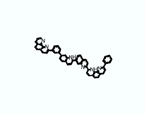 C1=CC(c2ccc3ccc(C4C=Cc5ccc6ccc(-c7ccccc7)nc6c5N4)nc3c2)Nc2cc(-c3cccc(-c4ccc5ccc6cccnc6c5n4)c3)ccc21